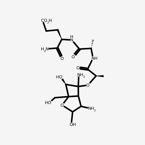 C[C@H](NC(=O)[C@@H](C)OC1(N)C2C(N)C(O)OC2(CO)[C@H]1O)C(=O)N[C@H](CCC(=O)O)C(N)=O